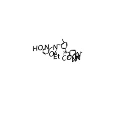 CC[C@H]1CN(Cc2cc([C@@H](CC(=O)O)c3ccc4c(nnn4C)c3C)ccc2C)Cc2nc(O)ccc2O1